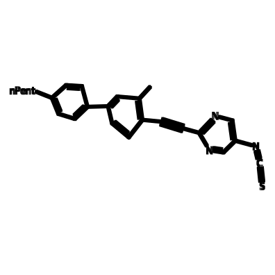 CCCCCc1ccc(-c2ccc(C#Cc3ncc(N=C=S)cn3)c(C)c2)cc1